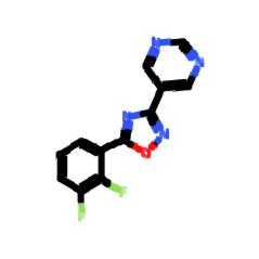 Fc1cccc(-c2nc(-c3cncnc3)no2)c1F